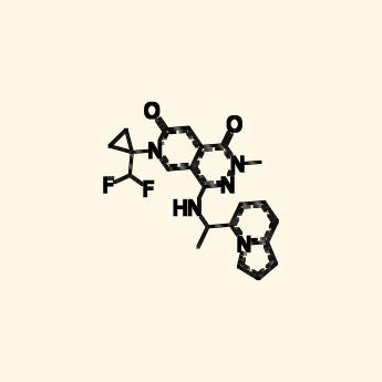 CC(Nc1nn(C)c(=O)c2cc(=O)n(C3(C(F)F)CC3)cc12)c1cccc2cccn12